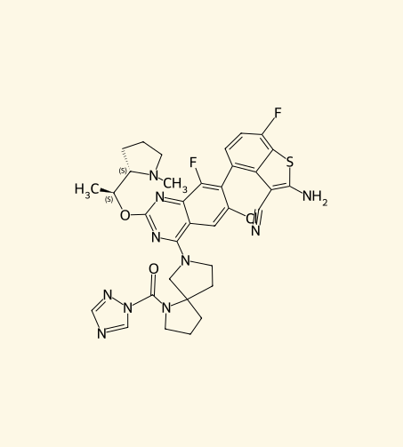 C[C@H](Oc1nc(N2CCC3(CCCN3C(=O)n3cncn3)C2)c2cc(Cl)c(-c3ccc(F)c4sc(N)c(C#N)c34)c(F)c2n1)[C@@H]1CCCN1C